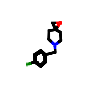 Fc1ccc(CN2CCC3(CC2)CO3)cc1